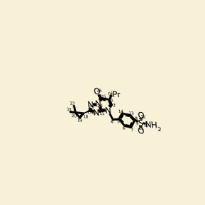 CC(C)c1cn(Cc2ccc(S(N)(=O)=O)cc2)c2nc([C@H]3CC3(C)C)nn2c1=O